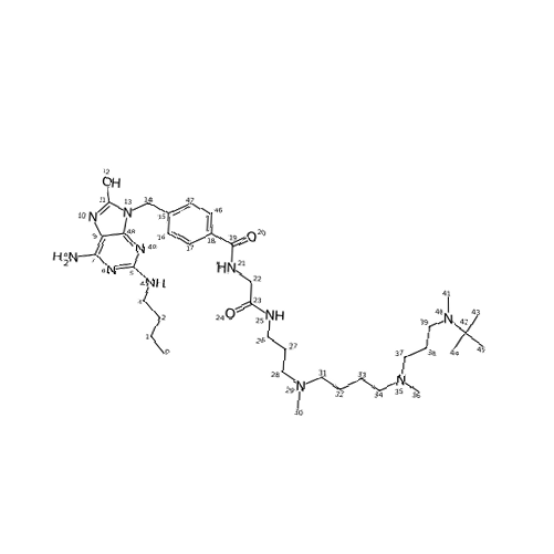 CCCCNc1nc(N)c2nc(O)n(Cc3ccc(C(=O)NCC(=O)NCCCN(C)CCCCN(C)CCCN(C)C(C)(C)C)cc3)c2n1